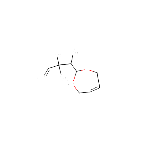 C=CC(C)(C)C(C)C1OCC=CCO1